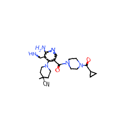 CC1(C#N)CCN(c2c(C(=O)N3CCN(C(=O)C4CC4)CC3)cnc(N)c2C=N)CC1